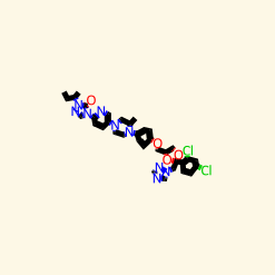 CCC(C)n1ncn(-c2ccc(N3CCN(c4ccc(OCC5COC(Cn6cncn6)(c6ccc(Cl)cc6Cl)O5)cc4)C(C)C3)cn2)c1=O